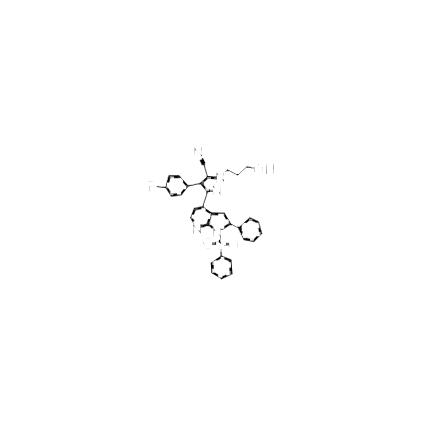 N#Cc1c(-c2ccc(F)cc2)c(-c2ccnc3c2cc(-c2ccccc2)n3S(=O)(=O)c2ccccc2)nn1CCCO